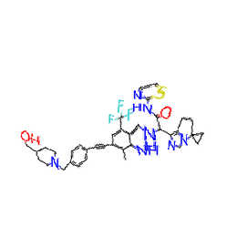 CC1=C(C#Cc2ccc(CN3CCC(CO)CC3)cc2)C=C(C(F)(F)F)/C(=C/NC(C(=O)Nc2nccs2)c2ncn3c2CCC32CC2)C1=N